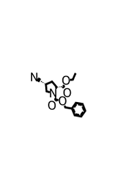 CCOC(=O)[C@H]1C[C@@H](C#N)CN1C(=O)OCc1ccccc1